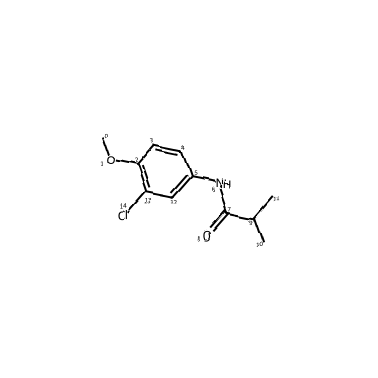 COc1ccc(NC(=O)C(C)C)cc1Cl